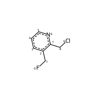 FCc1cccnc1CCl